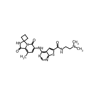 Cc1cc(Nc2ncnc3sc(C(=O)NCCN(C)C)cc23)c(=O)n2c1C(=O)NC21CCC1